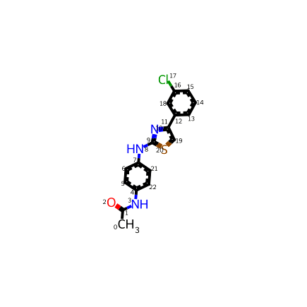 CC(=O)Nc1ccc(Nc2nc(-c3cccc(Cl)c3)cs2)cc1